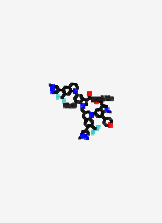 CNC(=O)c1cn(C)c2c(C3CCOCC3)cc(N3CC(Cn4cc(C(=O)NC)c5cc(N6CCCc7cc(-c8cnn(C)c8)c(C(F)F)cc76)cc(OC)c54)Cc4cc(-c5cnn(C)c5)c(C(F)F)cc43)cc12